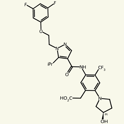 CC(C)c1c(C(=O)Nc2cc(CC(=O)O)c(N3CC[C@@H](O)C3)cc2C(F)(F)F)cnn1CCOc1cc(F)cc(F)c1